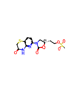 CS(=O)(=O)OCC[C@H]1CN(c2ccc3c(n2)NC(=O)CS3)C(=O)O1